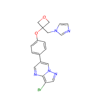 Brc1cnn2cc(-c3ccc(OC4(Cn5ccnc5)COC4)cc3)cnc12